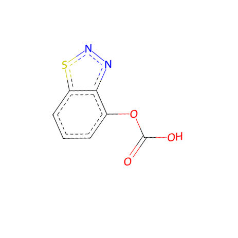 O=C(O)Oc1cccc2snnc12